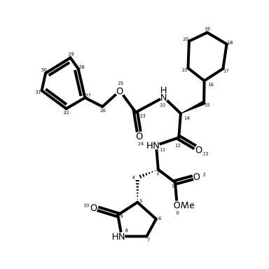 COC(=O)[C@H](C[C@@H]1CCNC1=O)NC(=O)[C@H](CC1CCCCC1)NC(=O)OCc1ccccc1